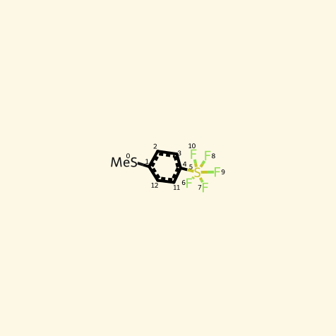 CSc1ccc(S(F)(F)(F)(F)F)cc1